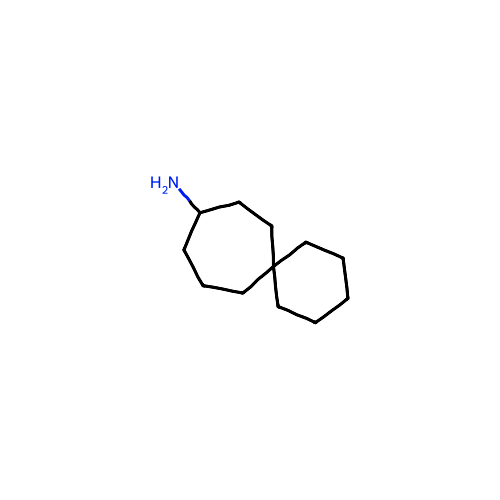 NC1CCCC2(CCCCC2)CC1